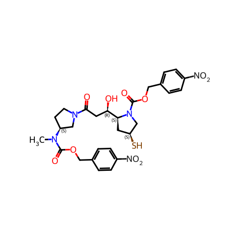 CN(C(=O)OCc1ccc([N+](=O)[O-])cc1)[C@H]1CCN(C(=O)C[C@@H](O)[C@@H]2C[C@H](S)CN2C(=O)OCc2ccc([N+](=O)[O-])cc2)C1